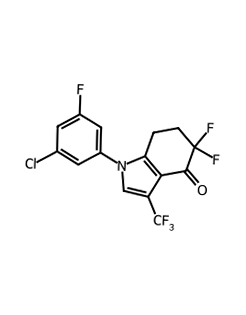 O=C1c2c(C(F)(F)F)cn(-c3cc(F)cc(Cl)c3)c2CCC1(F)F